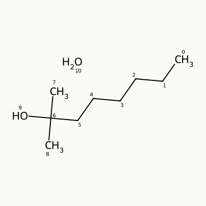 CCCCCCC(C)(C)O.O